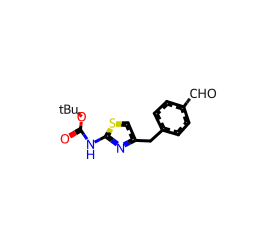 CC(C)(C)OC(=O)Nc1nc(Cc2ccc(C=O)cc2)cs1